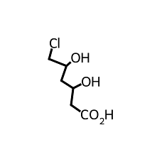 O=C(O)CC(O)CC(O)CCl